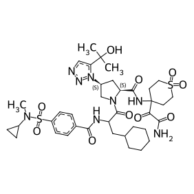 CN(C1CC1)S(=O)(=O)c1ccc(C(=O)NC(CC2CCCCC2)C(=O)N2C[C@@H](n3nncc3C(C)(C)O)C[C@H]2C(=O)NC2(C(=O)C(N)=O)CCS(=O)(=O)CC2)cc1